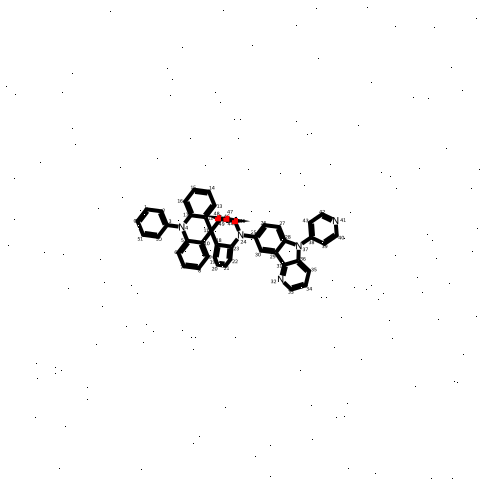 c1ccc(N2c3ccccc3C3(c4ccccc42)c2ccccc2N(c2ccc4c(c2)c2ncccc2n4-c2ccncc2)c2ccccc23)cc1